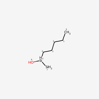 CCCCC[SiH](O)[SiH3]